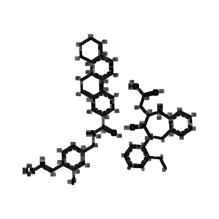 CCc1ccccc1N1Cc2ccccc2NC(CC(=O)O)C1=O.NN=Cc1ccc(CNC(=O)c2ccc3c(c2)=CCc2c4c(ccc2=3)=CCCC4)cc1F